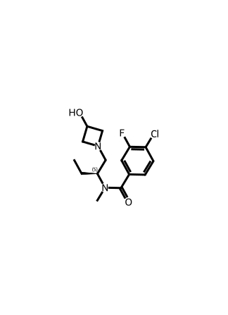 CC[C@@H](CN1CC(O)C1)N(C)C(=O)c1ccc(Cl)c(F)c1